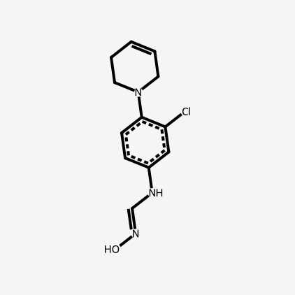 O/N=C/Nc1ccc(N2CC=CCC2)c(Cl)c1